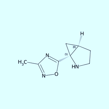 Cc1noc([C@]23C[C@H]2CCN3)n1